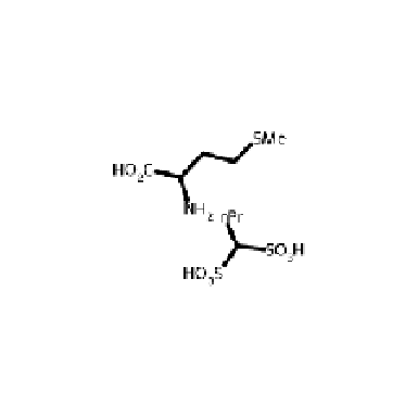 CCCC(S(=O)(=O)O)S(=O)(=O)O.CSCCC(N)C(=O)O